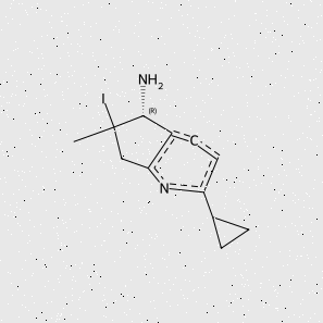 CC1(I)Cc2nc(C3CC3)ccc2[C@H]1N